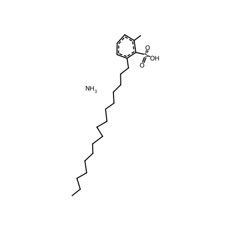 CCCCCCCCCCCCCCCCc1cccc(C)c1S(=O)(=O)O.N